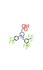 O=C(O)CC1CCN(Cc2cc(C(F)(F)F)cc(C(F)(F)F)c2)C(c2ccc(C(F)(F)F)cc2)C1